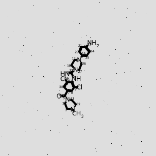 CN1CCN(C(=O)c2cc(Cl)c(NC(=N)N3CCN(c4ccc(N)cc4)CC3)c(Cl)c2)CC1